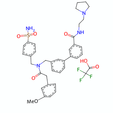 COc1cccc(CC(=O)N(Cc2ccc(S(N)(=O)=O)cc2)Cc2cccc(-c3cccc(C(=O)NCCN4CCCC4)c3)c2)c1.O=C(O)C(F)(F)F